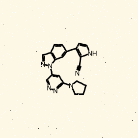 N#Cc1[nH]ccc1-c1ccc2cnn(-c3cnnc(N4CCCC4)c3)c2c1